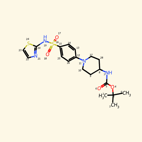 CC(C)(C)OC(=O)NC1CCN(c2ccc(S(=O)(=O)Nc3nccs3)cc2)CC1